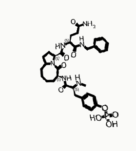 CN[C@@H](Cc1ccc(OP(=O)(O)O)cc1)C(=O)N[C@H]1CCCCC2CC[C@@H](C(=O)N[C@@H](CCC(N)=O)C(=O)NCc3ccccc3)N2C1=O